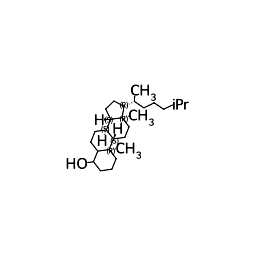 CC(C)CCCC(C)[C@H]1CC[C@H]2[C@@H]3CCC4C(O)CCC[C@]4(C)[C@H]3CC[C@]12C